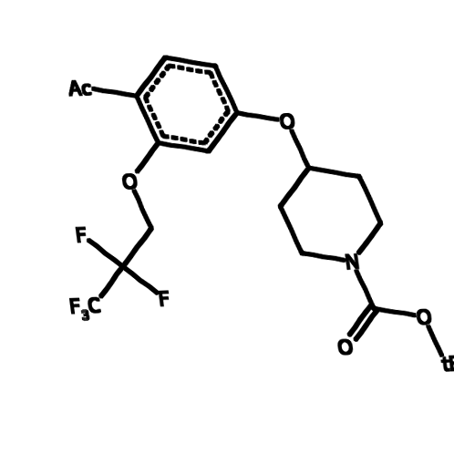 CC(=O)c1ccc(OC2CCN(C(=O)OC(C)(C)C)CC2)cc1OCC(F)(F)C(F)(F)F